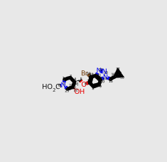 O=C(O)N1CC[C@H](COc2ccc3c(nnn3CC3CC3)c2Br)[C@@H](O)C1